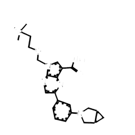 CC(C)(C)C(=O)c1cn(COCC[Si](C)(C)C)c2ncc(-c3cccc(N4CC5CC5C4)c3)nc12